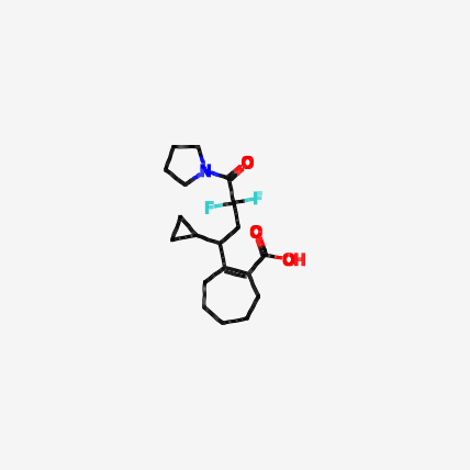 O=C(O)C1=C(C(CC(F)(F)C(=O)N2CCCC2)C2CC2)CCCCC1